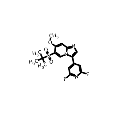 COc1cc2ncc(-c3cc(F)nc(F)c3)n2cc1S(=O)(=O)C(C)(C)C